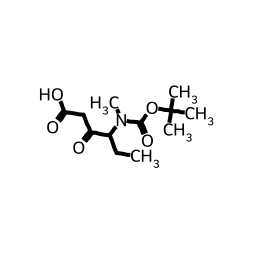 CCC(C(=O)CC(=O)O)N(C)C(=O)OC(C)(C)C